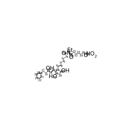 CCN(C(=O)CCCC/C=C/[C@@H]1[C@@H](/C=C/[C@@H](O)CCc2ccccc2)[C@H](O)C[C@@H]1O)C(=O)CCCCCO[N+](=O)[O-]